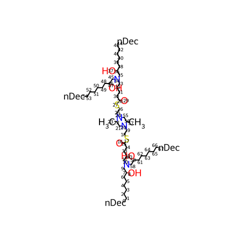 CCCCCCCCCCCCCCCCC(O)CN(CCCCC(=O)SCCN1CC(C)N(CCSC(=O)CCCCN(CC(O)CCCCCCCCCCCCCCCC)CC(O)CCCCCCCCCCCCCCCC)CC1C)CC(O)CCCCCCCCCCCCCCCC